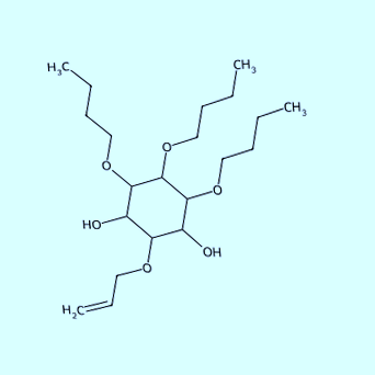 C=CCOC1C(O)C(OCCCC)C(OCCCC)C(OCCCC)C1O